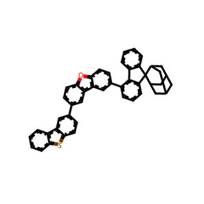 c1ccc2c(c1)-c1c(-c3ccc4oc5ccc(-c6ccc7sc8ccccc8c7c6)cc5c4c3)cccc1C21C2CC3CC(C2)CC1C3